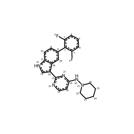 Fc1cccc(F)c1-c1ccc2[nH]cc(-c3nccc(NN4CCCCC4)n3)c2c1